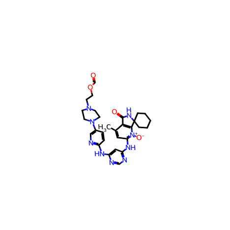 Cc1cc(Nc2cc(Nc3ccc(N4CCN(CCOC=O)CC4)cn3)ncn2)[n+]([O-])c2c1C(=O)NC21CCCCC1